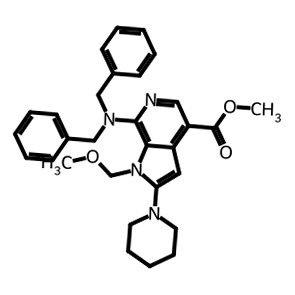 COCn1c(N2CCCCC2)cc2c(C(=O)OC)cnc(N(Cc3ccccc3)Cc3ccccc3)c21